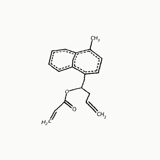 C=CCC(OC(=O)C=C)c1ccc(C)c2ccccc12